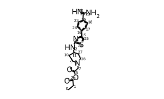 CCC(=O)OC(=O)CN1CCC(Nc2nc(-c3ccc(C(=N)N)cc3)cs2)CC1